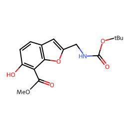 COC(=O)c1c(O)ccc2cc(CNC(=O)OC(C)(C)C)oc12